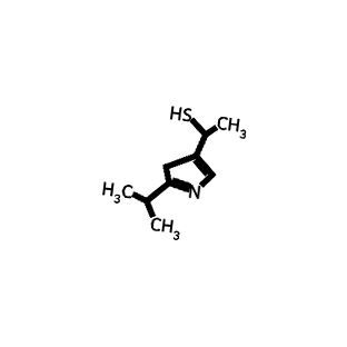 CC(C)C1=NC=C(C(C)S)C1